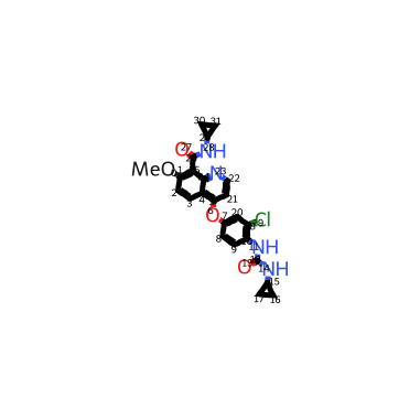 COc1ccc2c(Oc3ccc(NC(=O)NC4CC4)c(Cl)c3)ccnc2c1C(=O)NC1CC1